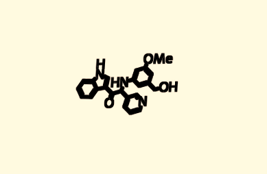 COc1cc(CO)cc(NC(C(=O)c2c[nH]c3ccccc23)c2cccnc2)c1